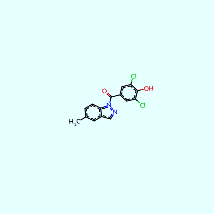 Cc1ccc2c(cnn2C(=O)c2cc(Cl)c(O)c(Cl)c2)c1